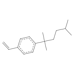 C=Cc1ccc(C(C)(C)CCC(C)C)cc1